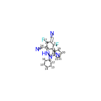 N#Cc1c(F)c(C#N)c(NN(c2ccccc2)c2ccccc2)c(C#N)c1F